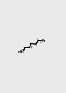 CCCCC[N]CCCC(C)C